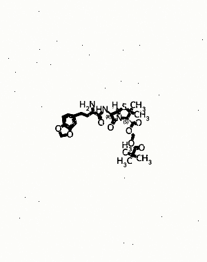 CC(C)(C)C(=O)OCOC(=O)[C@@H]1N2C(=O)[C@@H](NC(=O)C(N)CCc3ccc4c(c3)OCO4)[C@H]2SC1(C)C